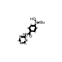 CC(C)(C)N(O)c1ccc(C(=O)Nc2ncncn2)cc1